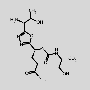 CC(O)[C@H](N)c1nnc([C@H](CCC(N)=O)NC(=O)N[C@@H](CO)C(=O)O)o1